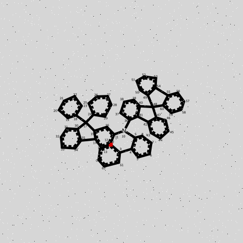 c1ccc(-c2ccccc2N(c2ccc3c(c2)C(c2ccccc2)(c2ccccc2)c2ccccc2-3)c2cccc3c2-c2ccccc2C32c3ccccc3-c3ccccc32)cc1